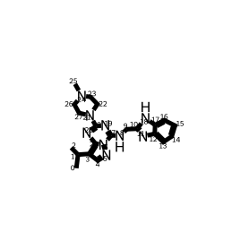 CC(C)c1cnn2c(NCc3nc4ccccc4[nH]3)nc(N3CCN(C)CC3)nc12